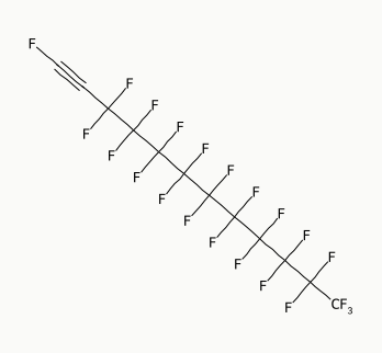 FC#CC(F)(F)C(F)(F)C(F)(F)C(F)(F)C(F)(F)C(F)(F)C(F)(F)C(F)(F)C(F)(F)C(F)(F)F